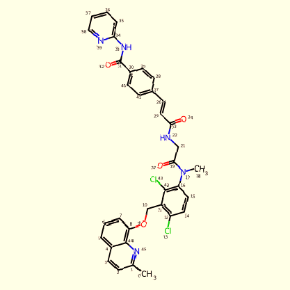 Cc1ccc2cccc(OCc3c(Cl)ccc(N(C)C(=O)CNC(=O)C=Cc4ccc(C(=O)Nc5ccccn5)cc4)c3Cl)c2n1